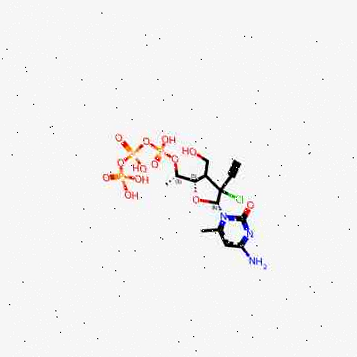 C#CC1(Cl)C(CO)[C@@H]([C@H](C)OP(=O)(O)OP(=O)(O)OP(=O)(O)O)O[C@H]1n1c(C)cc(N)nc1=O